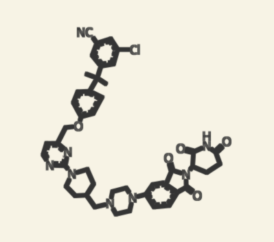 CC(C)(c1ccc(OCc2ccnc(N3CCC(CN4CCN(c5ccc6c(c5)C(=O)N(C5CCC(=O)NC5=O)C6=O)CC4)CC3)n2)cc1)c1cc(Cl)cc(C#N)c1